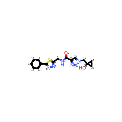 O=C(NCc1nnc(-c2ccccc2)s1)c1cn(CC2(O)CC2)nn1